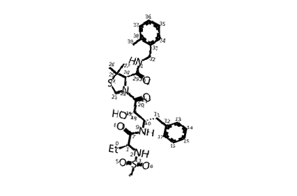 CC[C@H](NS(C)(=O)=O)C(=O)N[C@@H](Cc1ccccc1)[C@H](O)C(=O)N1CSC(C)(C)[C@H]1C(=O)NCc1ccccc1C